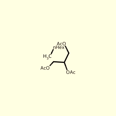 CC(=O)OCC(COC(C)=O)OC(C)=O.CCCCCCC